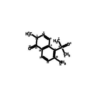 Cn1ncc2c(P(C)(C)=O)c(N)ccc2c1=O